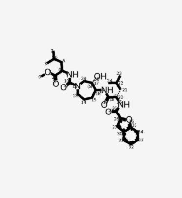 COC(=O)C(CC(C)C)NC(=O)N1CCCC(NC(=O)[C@H](CC(C)C)NC(=O)c2cc3ccccc3o2)[C@@H](O)C1